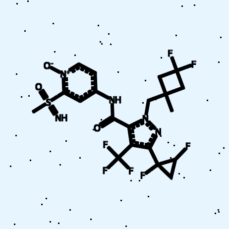 CC1(Cn2nc(C3(F)CC3F)c(C(F)(F)F)c2C(=O)Nc2cc[n+]([O-])c(S(C)(=N)=O)c2)CC(F)(F)C1